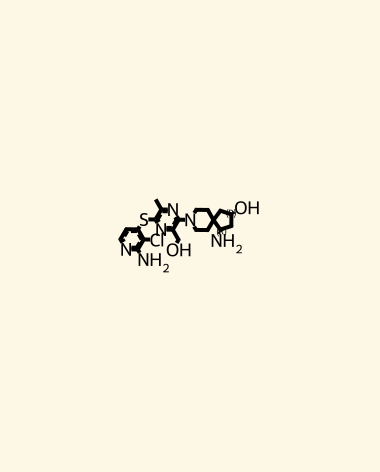 Cc1nc(N2CCC3(CC2)C[C@@H](O)C[C@H]3N)c(CO)nc1Sc1ccnc(N)c1Cl